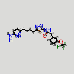 CNc1ccc(CCCCc2nnc(NC(=O)Cc3cccc(OC(F)(F)F)c3)s2)nn1